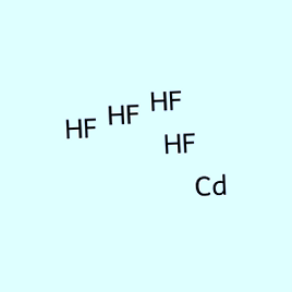 F.F.F.F.[Cd]